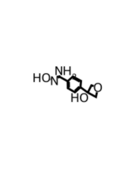 N/C(=N\O)c1ccc(C2(O)COC2)cc1